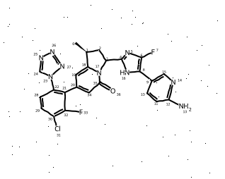 C[C@H]1CC(c2nc(F)c(-c3ccc(N)nc3)[nH]2)n2c1cc(-c1c(-n3cnnn3)ccc(Cl)c1F)cc2=O